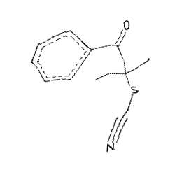 CC(C)(SC#N)C(=O)c1ccccc1